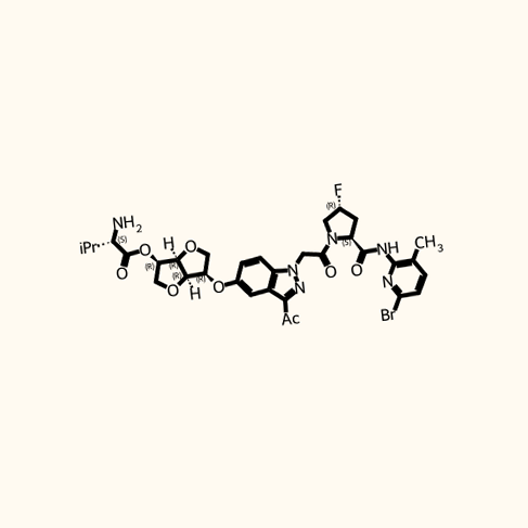 CC(=O)c1nn(CC(=O)N2C[C@H](F)C[C@H]2C(=O)Nc2nc(Br)ccc2C)c2ccc(O[C@@H]3CO[C@H]4[C@@H]3OC[C@H]4OC(=O)[C@@H](N)C(C)C)cc12